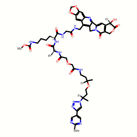 CCC(C)(CCNC(=O)COCC(=O)N[C@H](C(=O)N[C@@H](CCCCNC(=O)OC(C)(C)C)C(=O)NCC(=O)NCc1c2c(nc3cc4c(cc13)OCO4)-c1cc3c(c(=O)n1C2)COC(=O)[C@]3(O)CC)C(C)C)OCCC(C)(CC)n1cc(-c2cnc(SC)nc2)nn1